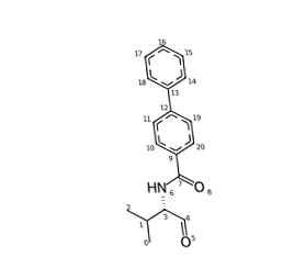 CC(C)[C@@H](C=O)NC(=O)c1ccc(-c2ccccc2)cc1